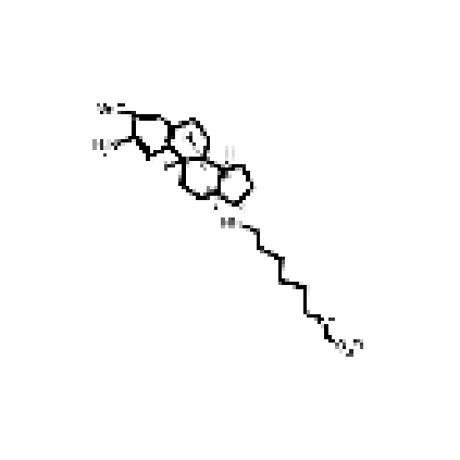 CCOC(=O)NCCCCCCN[C@H]1CC[C@H]2[C@@H]3CCc4cc(OC)c(N)cc4[C@H]3CC[C@]12C